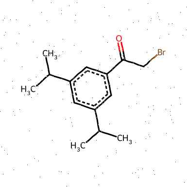 CC(C)c1[c]c(C(C)C)cc(C(=O)CBr)c1